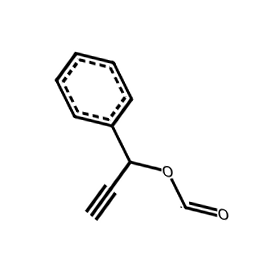 C#CC(O[C]=O)c1ccccc1